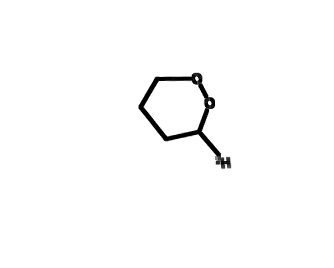 [2H]C1CCCOO1